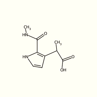 CNC(=O)c1[nH]ccc1C(C)C(=O)O